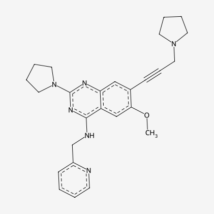 COc1cc2c(NCc3ccccn3)nc(N3CCCC3)nc2cc1C#CCN1CCCC1